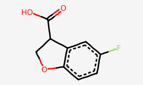 O=C(O)C1COc2ccc(F)cc21